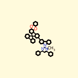 CN1C(c2ccccc2)=CC(c2ccccc2)=NC1n1c2ccccc2c2cc(-c3ccc4c(c3)C3(c5ccccc5-c5ccccc53)c3ccc5c(c3-4)Oc3ccccc3O5)ccc21